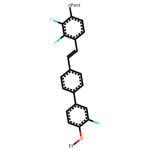 CCCCCc1ccc(/C=C/c2ccc(-c3ccc(OCC)c(F)c3)cc2)c(F)c1F